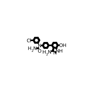 NC(=O)N(c1ccc(-c2ccc(O)c3[nH]nc(N)c23)cc1)c1cccc(Cl)c1